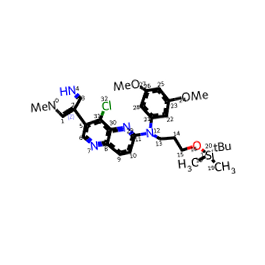 CN/C=C(\C=N)c1cnc2ccc(N(CCCO[Si](C)(C)C(C)(C)C)c3cc(OC)cc(OC)c3)nc2c1Cl